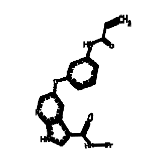 C=CC(=O)Nc1cccc(Oc2cnc3[nH]cc(C(=O)NC(C)C)c3c2)c1